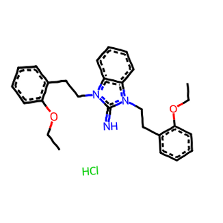 CCOc1ccccc1CCn1c(=N)n(CCc2ccccc2OCC)c2ccccc21.Cl